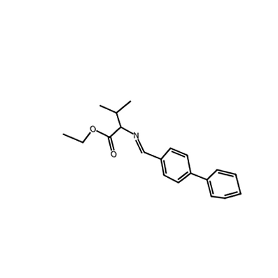 CCOC(=O)C(N=Cc1ccc(-c2ccccc2)cc1)C(C)C